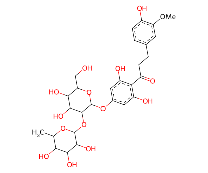 COc1cc(CCC(=O)c2c(O)cc(OC3OC(CO)C(O)C(O)C3OC3OC(C)C(O)C(O)C3O)cc2O)ccc1O